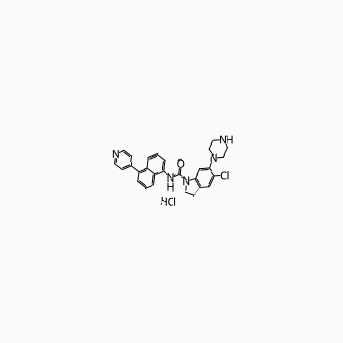 Cl.O=C(Nc1cccc2c(-c3ccncc3)cccc12)N1CCc2cc(Cl)c(N3CCNCC3)cc21